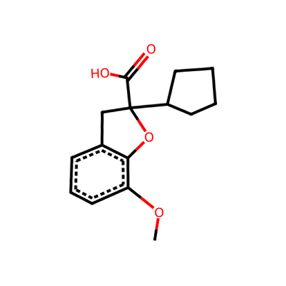 COc1cccc2c1OC(C(=O)O)(C1CCCC1)C2